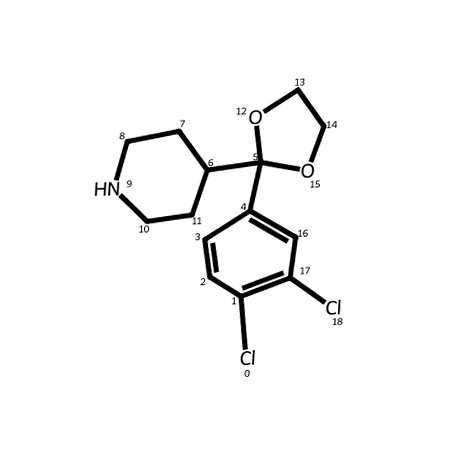 Clc1ccc(C2(C3CCNCC3)OCCO2)cc1Cl